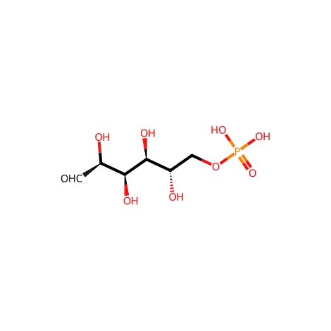 O=C[C@@H](O)[C@H](O)[C@@H](O)[C@@H](O)COP(=O)(O)O